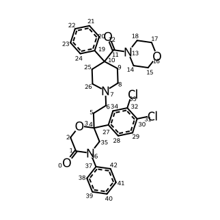 O=C1COC(CCN2CCC(C(=O)N3CCOCC3)(c3ccccc3)CC2)(c2ccc(Cl)c(Cl)c2)CN1c1ccccc1